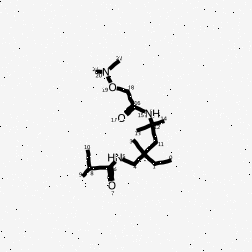 CCC(C)(CNC(=O)C(C)C)CC(C)(C)NC(=O)CON(C)C